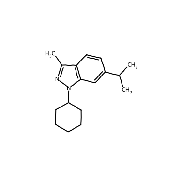 Cc1nn(C2CCCCC2)c2cc(C(C)C)ccc12